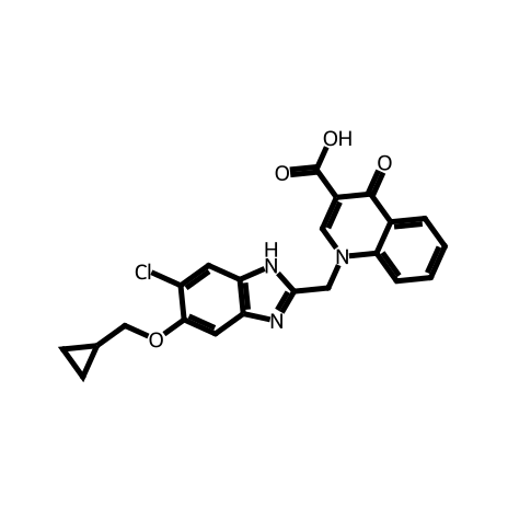 O=C(O)c1cn(Cc2nc3cc(OCC4CC4)c(Cl)cc3[nH]2)c2ccccc2c1=O